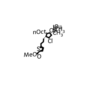 CCCCCCCC[C@@H]1[C@@H](CCCc2ccc(C(=O)OC)s2)[C@H](Cl)C[C@H]1O[Si](C)(C)C(C)(C)C